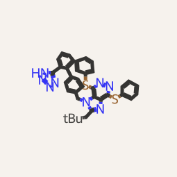 CC(C)(C)Cc1nc2c(Sc3ccccc3)nnc(Sc3ccccc3)c2n1Cc1ccc(-c2ccccc2-c2nnn[nH]2)cc1